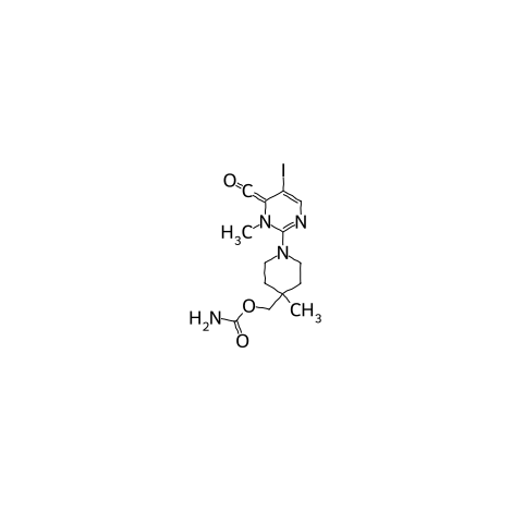 CN1C(=C=O)C(I)=CN=C1N1CCC(C)(COC(N)=O)CC1